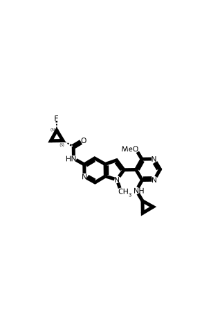 COc1ncnc(NC2CC2)c1-c1cc2cc(NC(=O)[C@@H]3C[C@@H]3F)ncc2n1C